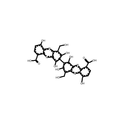 O=C(O)c1ccc(O)c2nc3c(CO)c(O)c(-c4c(O)c(CO)c5nc6c(O)ccc(C(=O)O)c6nc5c4O)c(O)c3nc12